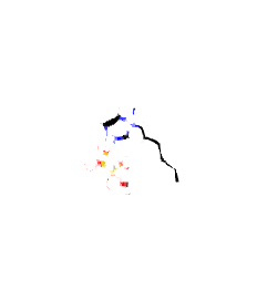 CCCCCC[N+]1(C)C=CN=C1.COS(=O)(=O)[O-]